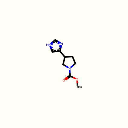 CC(C)(C)OC(=O)N1CCC(c2c[nH]cn2)C1